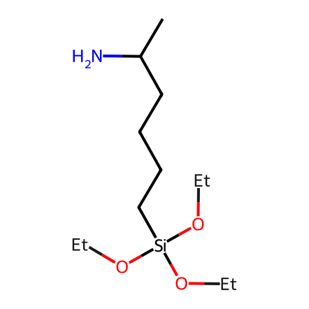 CCO[Si](CCCCC(C)N)(OCC)OCC